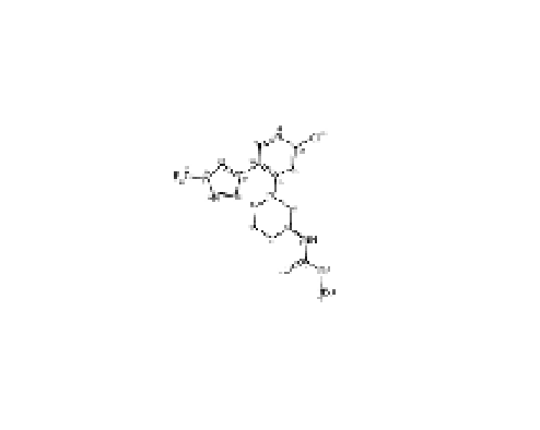 CC(C)(C)OC(=O)N[C@H]1CCCN(c2cc(Cl)ncc2-c2cnn(C(F)(F)F)c2)C1